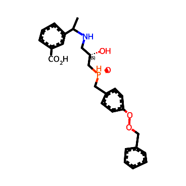 CC(NC[C@H](O)C[PH](=O)Cc1ccc(OOCc2ccccc2)cc1)c1cccc(C(=O)O)c1